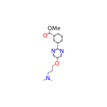 COC(=O)c1cccc(-c2ncc(OCCCN(C)C)cn2)c1